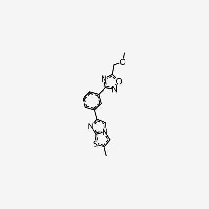 COCc1nc(-c2cccc(-c3cn4cc(C)sc4n3)c2)no1